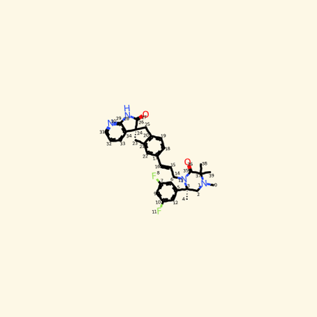 CN1C[C@@](C)(c2cc(F)cc(F)c2)N(C/C=C/c2ccc3c(c2)C[C@@]2(C3)C(=O)Nc3ncccc32)C(=O)C1(C)C